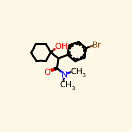 CN(C)C(=O)C(c1ccc(Br)cc1)C1(O)CCCCC1